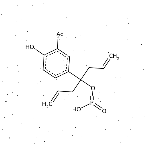 C=CCC(CC=C)(O[PH](=O)O)c1ccc(O)c(C(C)=O)c1